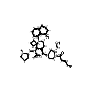 CN1CCC[C@H]1Cn1c2c(c(N3CCN(C(=O)/C=C/CF)[C@@H](CC#N)C3)nc1=O)CCN(c1cccc3cccc(Cl)c13)C21CCC1